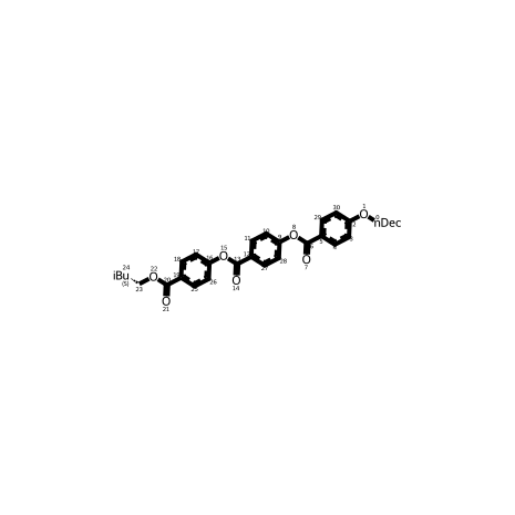 CCCCCCCCCCOc1ccc(C(=O)Oc2ccc(C(=O)Oc3ccc(C(=O)OC[C@@H](C)CC)cc3)cc2)cc1